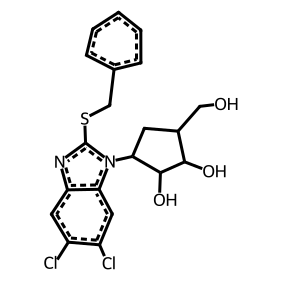 OCC1CC(n2c(SCc3ccccc3)nc3cc(Cl)c(Cl)cc32)C(O)C1O